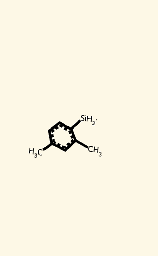 Cc1ccc([SiH2])c(C)c1